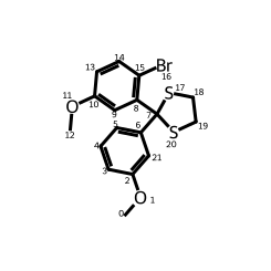 COc1cccc(C2(c3cc(OC)ccc3Br)SCCS2)c1